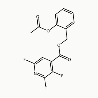 CC(=O)Oc1ccccc1COC(=O)c1cc(F)nc(F)c1F